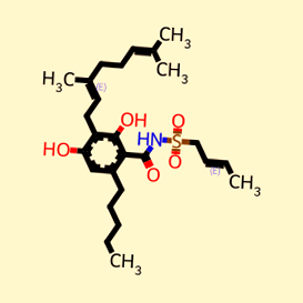 C/C=C/CS(=O)(=O)NC(=O)c1c(CCCCC)cc(O)c(C/C=C(\C)CCC=C(C)C)c1O